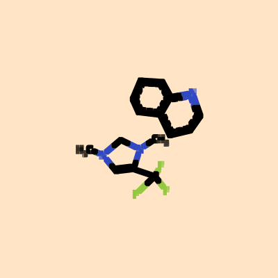 CN1C=C(C(F)(F)F)N(C)C1.c1ccc2ncccc2c1